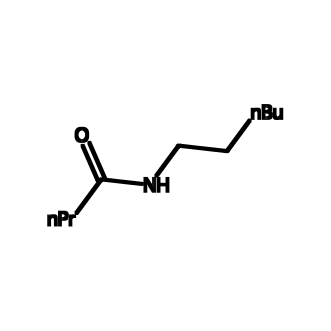 [CH2]CCCCCNC(=O)CCC